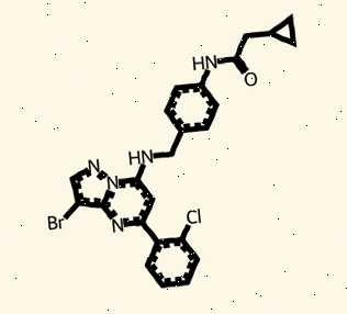 O=C(CC1CC1)Nc1ccc(CNc2cc(-c3ccccc3Cl)nc3c(Br)cnn23)cc1